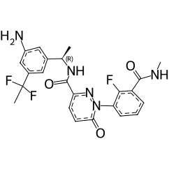 CNC(=O)c1cccc(-n2nc(C(=O)N[C@H](C)c3cc(N)cc(C(C)(F)F)c3)ccc2=O)c1F